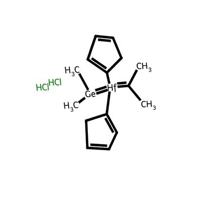 C[C](C)=[Hf]([C]1=CC=CC1)([C]1=CC=CC1)=[Ge]([CH3])[CH3].Cl.Cl